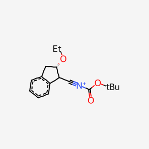 CCO[C@H]1Cc2ccccc2C1C#[N+]C(=O)OC(C)(C)C